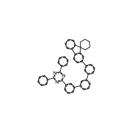 c1ccc(-c2nc(-c3ccccc3)nc(-c3cccc(-c4cccc(-c5cccc(-c6ccc7c(c6)C6(CCCCC6)c6ccccc6-7)c5)c4)c3)n2)cc1